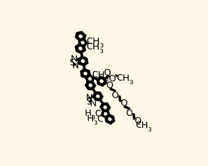 CCOC(=O)c1cc(C2(C)c3cc(-c4ccc(-c5ccc6c(c5)C(C)(C)c5ccccc5-6)c5nsnc45)ccc3-c3ccc(-c4ccc(-c5ccc6c(c5)C(C)(C)c5ccccc5-6)c5nsnc45)cc32)ccc1OCCOCCOCCOCCOC